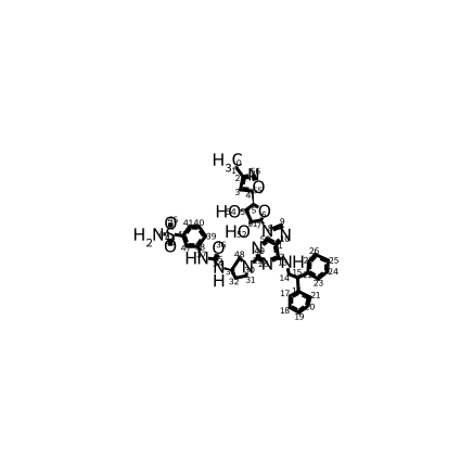 CCc1cc([C@H]2O[C@@H](n3cnc4c(NCC(c5ccccc5)c5ccccc5)nc(N5CC[C@@H](NC(=O)Nc6cccc(S(N)(=O)=O)c6)C5)nc43)[C@H](O)[C@@H]2O)on1